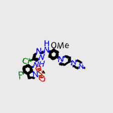 COc1cc(N2CCC(N3CCN(C)CC3)CC2)ccc1Nc1ncc(Cl)c(Nc2ccc(F)c3c2N(S(C)(=O)=O)CC3)n1